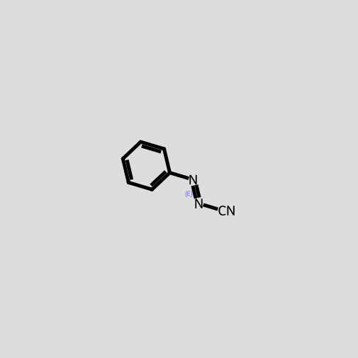 N#C/N=N/c1ccccc1